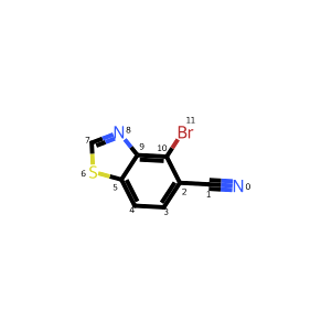 N#Cc1ccc2scnc2c1Br